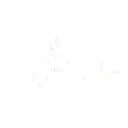 CCCC(=O)Nc1cncc(-c2ccc3[nH]nc(-c4cc5c(-c6ccsc6)cncc5[nH]4)c3n2)c1